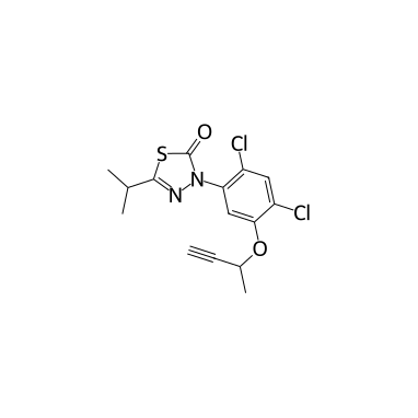 C#CC(C)Oc1cc(-n2nc(C(C)C)sc2=O)c(Cl)cc1Cl